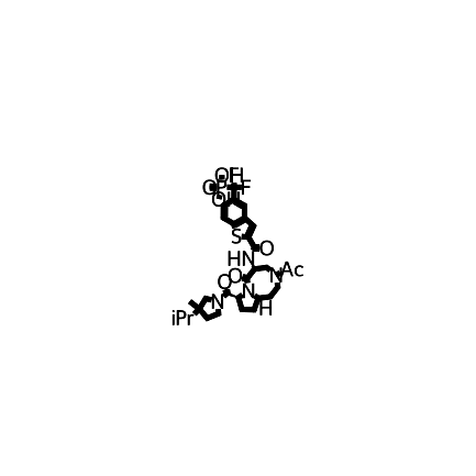 CC(=O)N1CC[C@H]2CC[C@@H](C(=O)N3CCC(C)(C(C)C)C3)N2C(=O)[C@@H](NC(=O)c2cc3cc(C(F)(F)P(=O)(O)O)ccc3s2)C1